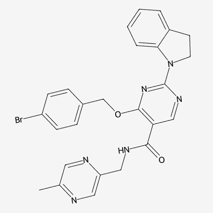 Cc1cnc(CNC(=O)c2cnc(N3CCc4ccccc43)nc2OCc2ccc(Br)cc2)cn1